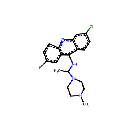 CC(Nc1c2ccc(Cl)cc2nc2ccc(F)cc12)N1CCN(C)CC1